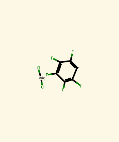 Fc1[c]c(F)c(F)c(F)c1F.[Cl][Mg][Cl]